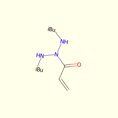 C=CC(=O)N(NC(C)CC)NC(C)CC